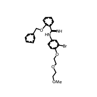 COCCOCCOc1ccc(NC(=N)c2ccccc2OCc2ccccc2)cc1Br